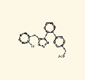 CC(=O)OCc1ccc(-c2ccccc2-c2nnnn2Cc2ccccc2O)cc1